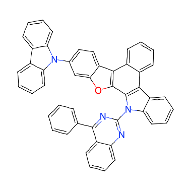 c1ccc(-c2nc(-n3c4ccccc4c4c5ccccc5c5c6ccc(-n7c8ccccc8c8ccccc87)cc6oc5c43)nc3ccccc23)cc1